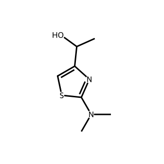 CC(O)c1csc(N(C)C)n1